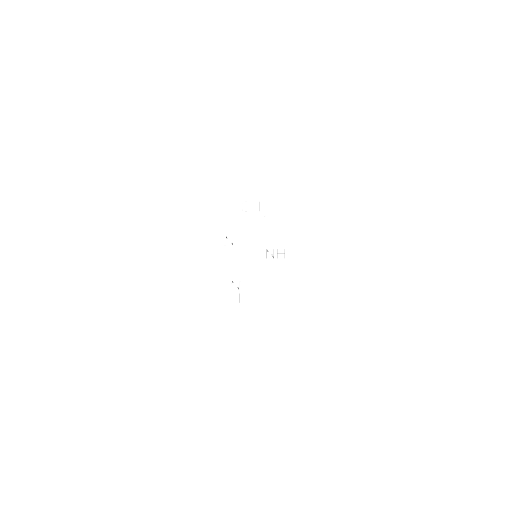 C=CN1CCNCC1.N